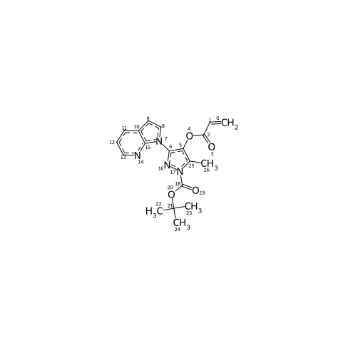 C=CC(=O)Oc1c(-n2ccc3cccnc32)nn(C(=O)OC(C)(C)C)c1C